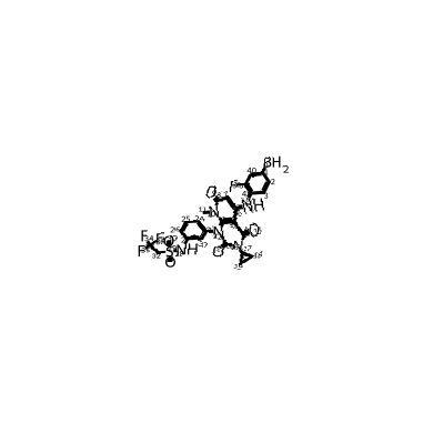 Bc1ccc(Nc2cc(=O)n(C)c3c2c(=O)n(C2CC2)c(=O)n3-c2cccc(NS(=O)(=O)CC(F)(F)F)c2)c(F)c1